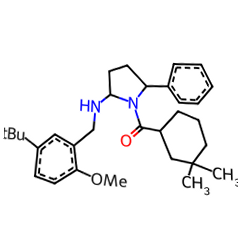 COc1ccc(C(C)(C)C)cc1CNC1CCC(c2ccccc2)N1C(=O)C1CCCC(C)(C)C1